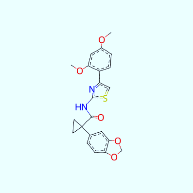 COc1ccc(-c2csc(NC(=O)C3(c4ccc5c(c4)OCO5)CC3)n2)c(OC)c1